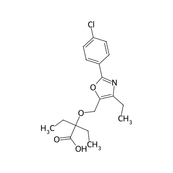 CCc1nc(-c2ccc(Cl)cc2)oc1COC(CC)(CC)C(=O)O